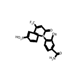 N#Cc1cc(C(N)=O)ccc1-n1c(=O)cc(C(F)(F)F)c2cc(S(=O)(=O)O)ccc21